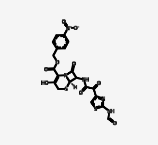 O=CNc1nc(C(=O)C(=O)NC2C(=O)N3C(C(=O)OCc4ccc([N+](=O)[O-])cc4)=C(O)CS[C@H]23)cs1